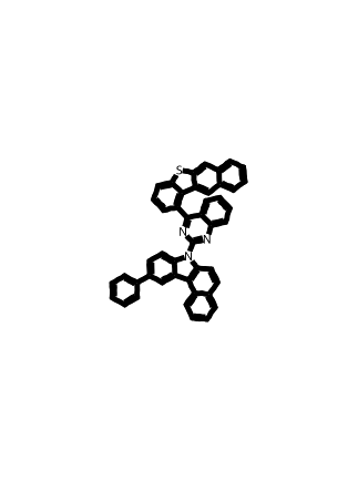 c1ccc(-c2ccc3c(c2)c2c4ccccc4ccc2n3-c2nc(-c3cccc4sc5cc6ccccc6cc5c34)c3ccccc3n2)cc1